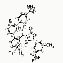 Cc1cc([C@H]2OC(=O)N(CC3=C(c4ccc(F)c(-c5ccc(C(N)=O)cc5C)c4)CCC(C)(C)C3)[C@H]2C)cc(C(F)(F)F)c1